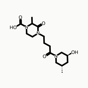 CC1C(=O)N(CCCC(=O)N2C[C@@H](C)C[C@H](O)C2)CCN1C(=O)O